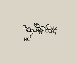 CC(=O)OC(C)(C)C(=O)N1CCC2(CC1)C(=O)N(Cc1cc3cc(Cl)ccc3n1CCCC#N)c1cnccc12